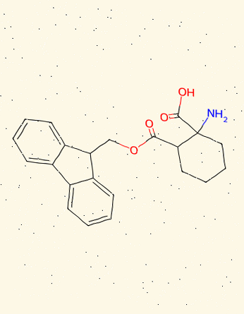 NC1(C(=O)O)CCCCC1C(=O)OCC1c2ccccc2-c2ccccc21